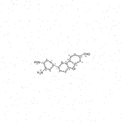 Nc1ccc(-c2ccc3oc4cc(C=O)ccc4c3c2)cc1N